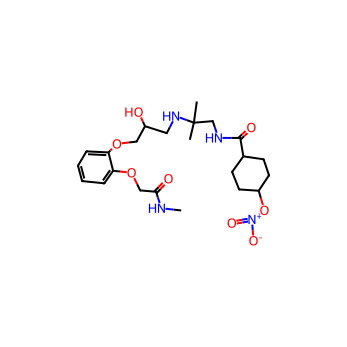 CNC(=O)COc1ccccc1OCC(O)CNC(C)(C)CNC(=O)C1CCC(O[N+](=O)[O-])CC1